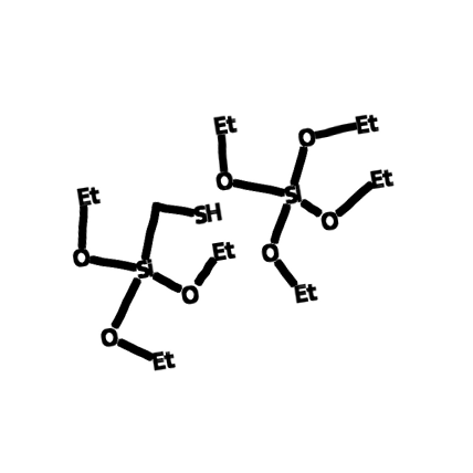 CCO[Si](CS)(OCC)OCC.CCO[Si](OCC)(OCC)OCC